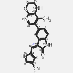 Cc1c(-c2ccc3c(c2)/C(=C/c2cc(C#N)c[nH]2)C(=O)N3)cnc2c1NCCO2